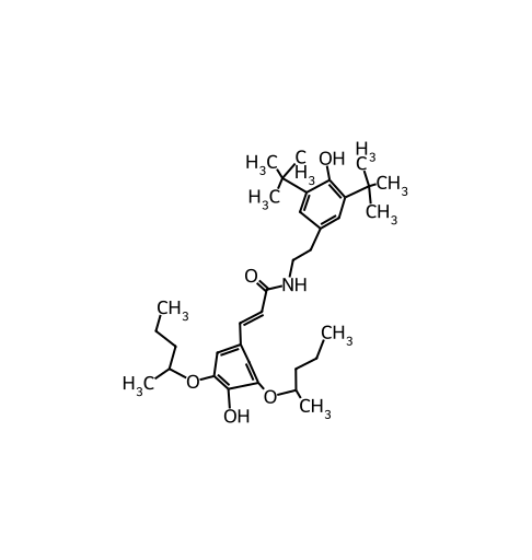 CCCC(C)Oc1cc(C=CC(=O)NCCc2cc(C(C)(C)C)c(O)c(C(C)(C)C)c2)cc(OC(C)CCC)c1O